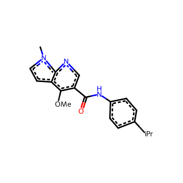 COc1c(C(=O)Nc2ccc(C(C)C)cc2)cnc2c1ccn2C